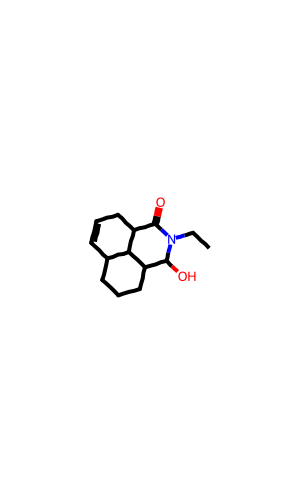 CCN1C(=O)C2CC=CC3CCCC(C32)C1O